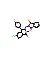 Cn1c(CN2C(=O)c3ccccc3C2=O)c(-c2ccc(F)cc2)c2cc(Cl)ccc2c1=O